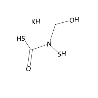 O=C(S)N(S)CO.[KH]